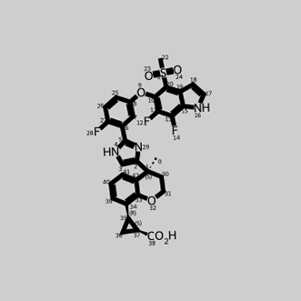 C[C@]1(c2c[nH]c(-c3cc(Oc4c(F)c(F)c5[nH]ccc5c4S(C)(=O)=O)ccc3F)n2)CCOc2c([C@@H]3C[C@@H]3C(=O)O)cccc21